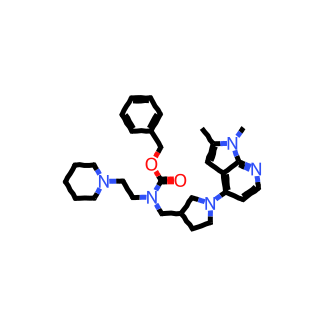 Cc1cc2c(N3CCC(CN(CCN4CCCCC4)C(=O)OCc4ccccc4)C3)ccnc2n1C